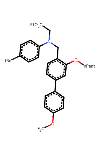 CCCCCOc1cc(-c2ccc(OC(F)(F)F)cc2)ccc1CN(CC(=O)OCC)c1ccc(C(C)(C)C)cc1